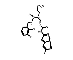 CCOC(=O)CC[C@@H](COC(=O)Nc1cc2cc(F)ccc2cn1)N(NCc1cccc(F)c1Cl)C(C)=O